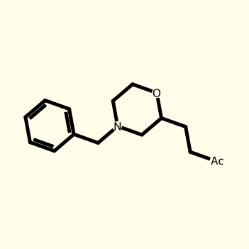 CC(=O)CCC1CN(Cc2ccccc2)CCO1